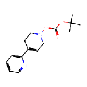 CC(C)(C)OC(=O)ON1CC=C(c2ccccn2)CC1